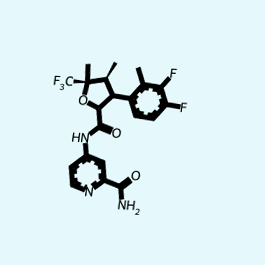 Cc1c(C2C(C(=O)Nc3ccnc(C(N)=O)c3)O[C@@](C)(C(F)(F)F)[C@H]2C)ccc(F)c1F